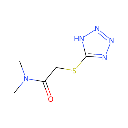 CN(C)C(=O)CSc1nnn[nH]1